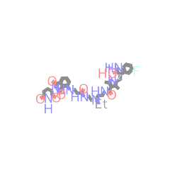 CCN(CCNC(=O)CCNc1cccc2c1C(=O)N(C1CCC(=O)NC1=O)C2=O)CCNC(=O)c1c(C)[nH]c(/C=C2/c3cc(F)ccc3NC2O)c1C